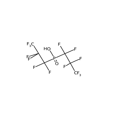 O=P(O)(C(F)(F)C(F)(F)C(F)(F)F)C(F)(F)C(F)(F)C(F)(F)F